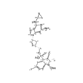 CON(c1ccc(I)cc1)[C@@H](C)C(=O)OP(=O)(O)OC[C@@H]1C=C[C@H](n2cnc3c(NC4CC4)nc(N)nc32)C1